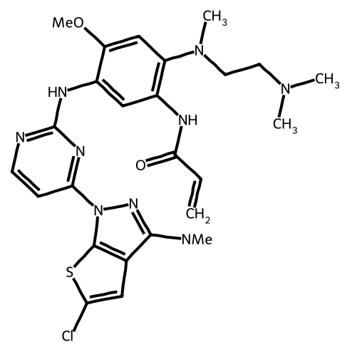 C=CC(=O)Nc1cc(Nc2nccc(-n3nc(NC)c4cc(Cl)sc43)n2)c(OC)cc1N(C)CCN(C)C